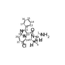 NC[C@@H]1[C@H]2C[C@H]2CN1C(=O)c1c(-c2ccccc2)nc2ccc(Cl)cn12